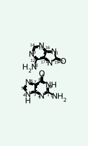 Nc1nc2[nH]cnc2c(=O)[nH]1.Nc1ncnc2c1=NC(=O)N=2